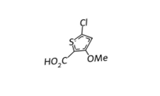 COc1cc(Cl)sc1C(=O)O